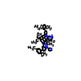 Cc1ccc(C)c(C2=Cc3c(n(-c4cccnc4)c4c5c6c(cc34)C(C)C(C)c3cc(-c4cc(-c7cc(C)ccc7C)ccc4Nc4cccnc4)cc(c3-6)C(C)C5C)CC2)c1